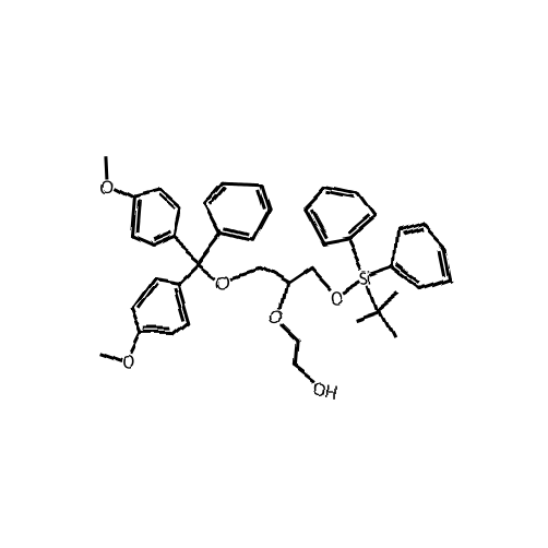 COc1ccc(C(OCC(CO[Si](c2ccccc2)(c2ccccc2)C(C)(C)C)OCCO)(c2ccccc2)c2ccc(OC)cc2)cc1